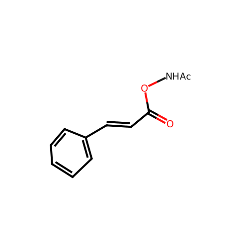 CC(=O)NOC(=O)C=Cc1ccccc1